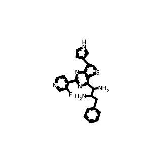 NC(Cc1ccccc1)C(N)c1nc(-c2ccncc2F)nc2c(-c3cc[nH]c3)csc12